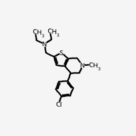 CCN(CC)Cc1cc2c(s1)CN(C)CC2c1ccc(Cl)cc1